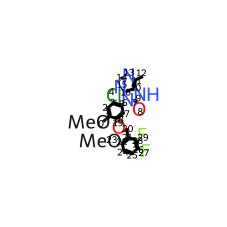 COc1cc(Cl)c(-n2c(=O)[nH]c3c(C)ncnc32)cc1OCc1c(OC)ccc(F)c1F